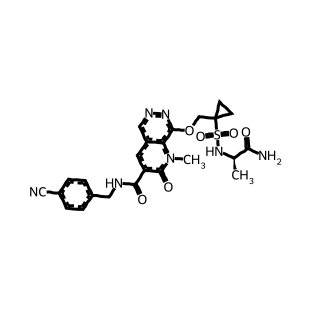 C[C@@H](NS(=O)(=O)C1(COc2nncc3cc(C(=O)NCc4ccc(C#N)cc4)c(=O)n(C)c23)CC1)C(N)=O